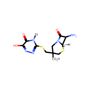 CCn1c(SCC2(C(=O)O)CS[C@@H]3C(N)C(=O)N3C2)nnc(O)c1=O